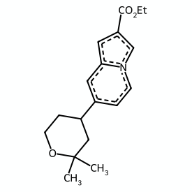 CCOC(=O)c1cc2cc(C3CCOC(C)(C)C3)ccn2c1